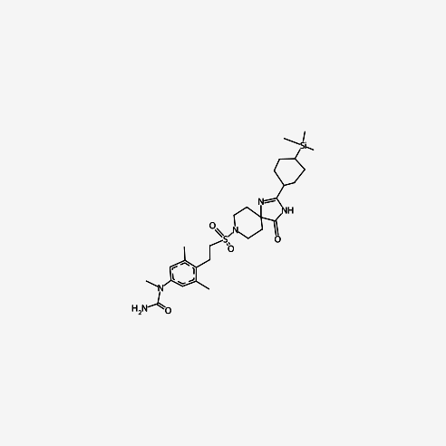 Cc1cc(N(C)C(N)=O)cc(C)c1CCS(=O)(=O)N1CCC2(CC1)N=C(C1CCC([Si](C)(C)C)CC1)NC2=O